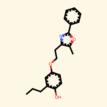 CCCc1cc(OCCc2nc(-c3ccccc3)oc2C)ccc1O